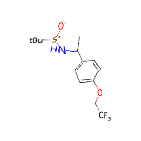 CC(N[S+]([O-])C(C)(C)C)c1ccc(OCC(F)(F)F)cc1